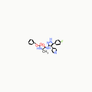 C[C@H](NC(=O)OCc1ccccc1)C(=O)Nc1n[nH]c(-c2ccc(F)cc2)c1-c1ccncc1